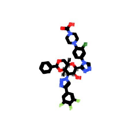 O=C(O)N1CCN(c2ccc(-n3cnnc3[C@@H]3O[C@@H]4COC(c5ccccc5)O[C@@H]4[C@H](n4cc(-c5cc(F)c(F)c(F)c5)nn4)[C@H]3O)cc2Cl)CC1